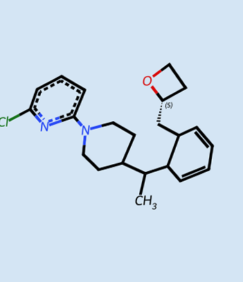 CC(C1CCN(c2cccc(Cl)n2)CC1)C1C=CC=CC1C[C@H]1CCO1